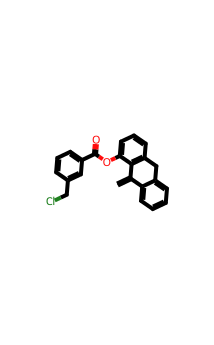 C=C1c2ccccc2Cc2cccc(OC(=O)c3cccc(CCl)c3)c21